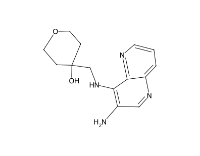 Nc1cnc2cccnc2c1NCC1(O)CCOCC1